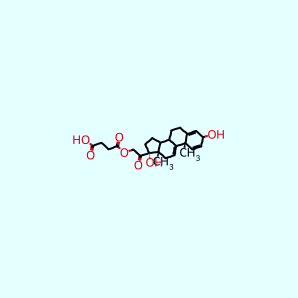 C[C@]12C=CC(O)C=C1CCC1C2=CC[C@@]2(C)C1CC[C@]2(O)C(=O)COC(=O)CCC(=O)O